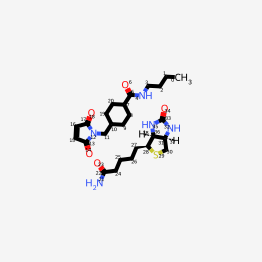 CCCCNC(=O)C1CCC(CN2C(=O)C=CC2=O)CC1.NC(=O)CCCC[C@@H]1SC[C@@H]2NC(=O)N[C@@H]21